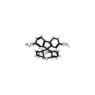 CC1=CC2=C(CC1)c1ccc(C)cc1C21C2C=CC=CC2OC2=CC=CCC21C